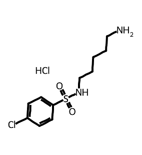 Cl.NCCCCCNS(=O)(=O)c1ccc(Cl)cc1